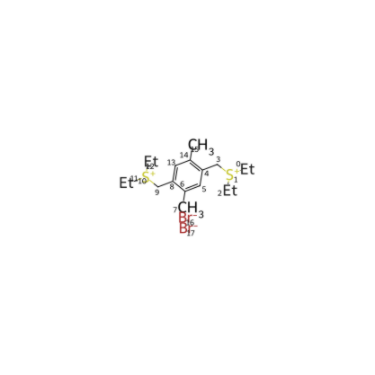 CC[S+](CC)Cc1cc(C)c(C[S+](CC)CC)cc1C.[Br-].[Br-]